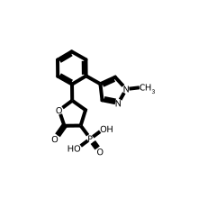 Cn1cc(-c2ccccc2C2CC(P(=O)(O)O)C(=O)O2)cn1